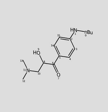 CCCCNc1ccc(C(=O)C(O)CN(C)C)cc1